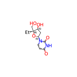 CC[C@]1(CO)O[C@H](n2ccc(=O)[nH]c2=O)C[C@@H]1O